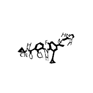 C=C(N=C1NCCN1)c1cc(F)c(Nc2cccc(C(=O)NC3(C#N)CC3)c2Cl)c(C2CC2)c1